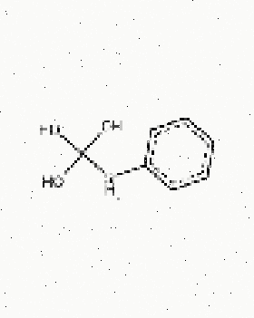 OC(O)(O)[SiH2]c1ccccc1